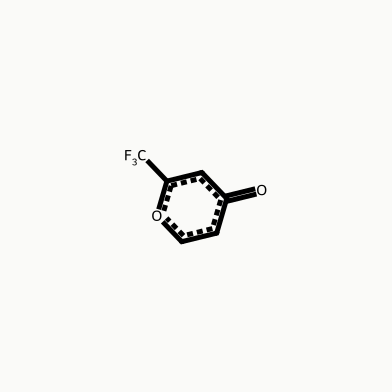 O=c1ccoc(C(F)(F)F)c1